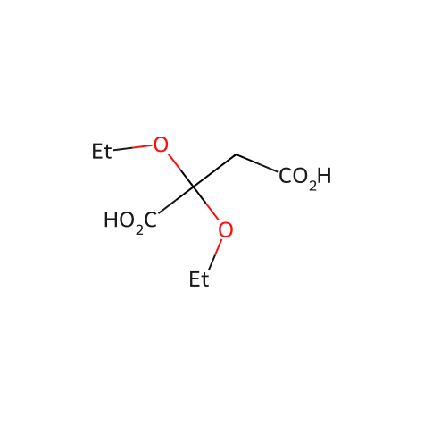 CCOC(CC(=O)O)(OCC)C(=O)O